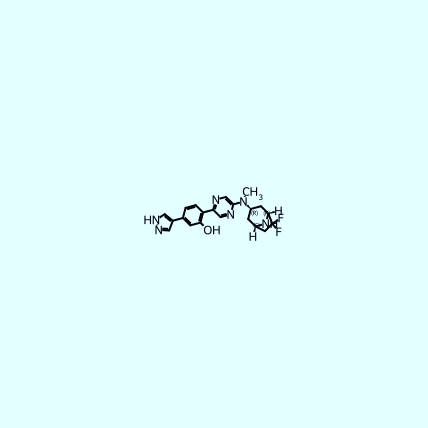 CN(c1cnc(-c2ccc(-c3cn[nH]c3)cc2O)cn1)[C@@H]1C[C@H]2CC(F)(F)[C@@H](C1)N2